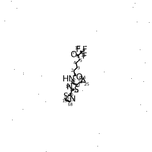 O=C(CCCCC(=O)C(F)(F)F)Nc1nc(-c2nccs2)sc1C1CC1